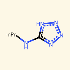 CC[CH]Nc1nnn[nH]1